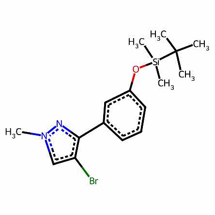 Cn1cc(Br)c(-c2cccc(O[Si](C)(C)C(C)(C)C)c2)n1